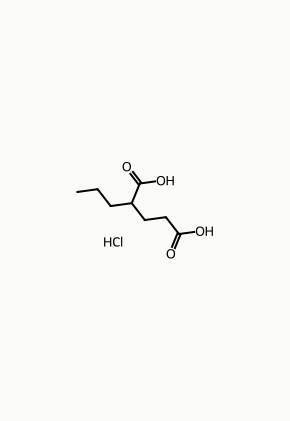 CCCC(CCC(=O)O)C(=O)O.Cl